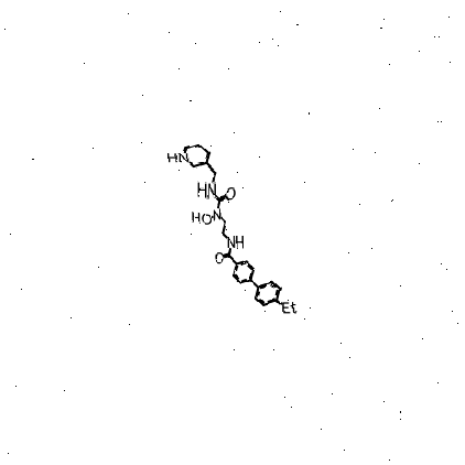 CCc1ccc(-c2ccc(C(=O)NCCN(O)C(=O)NCC3CCCNC3)cc2)cc1